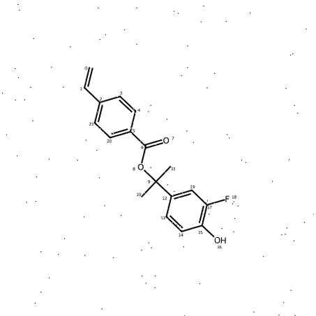 C=Cc1ccc(C(=O)OC(C)(C)c2ccc(O)c(F)c2)cc1